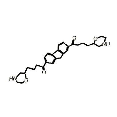 O=C(CCCC1CNCCO1)c1ccc2c(c1)Cc1cc(C(=O)CCCC3CNCCO3)ccc1-2